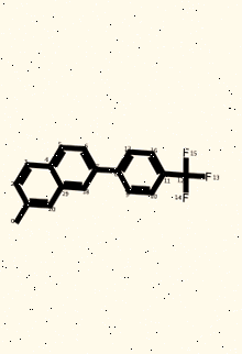 Cc1ccc2ccc(-c3[c]cc(C(F)(F)F)c[c]3)cc2c1